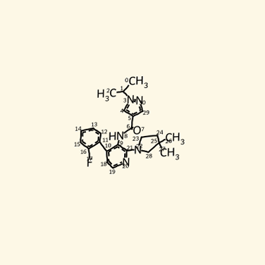 CC(C)n1cc(C(=O)Nc2c(-c3ccccc3F)ccnc2N2CCC(C)(C)C2)cn1